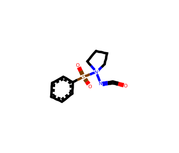 O=C=N[N+]1(S(=O)(=O)c2ccccc2)CCCC1